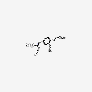 CCOC(=O)/C(=C/c1ccc(OCOC)c(OCC)c1)N=[N+]=[N-]